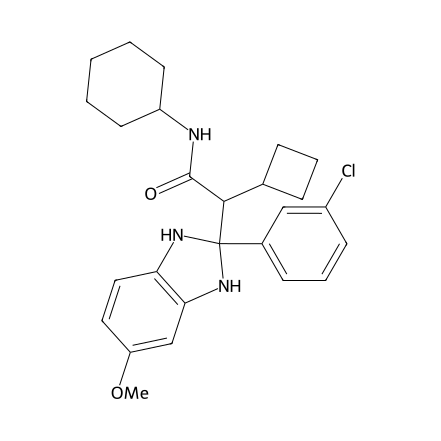 COc1ccc2c(c1)NC(c1cccc(Cl)c1)(C(C(=O)NC1CCCCC1)C1CCC1)N2